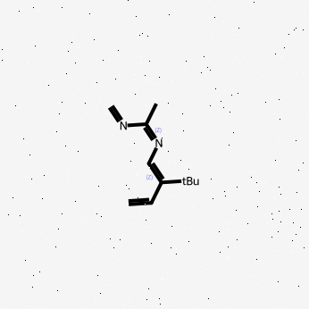 C=C/C(=C/N=C(/C)N=C)C(C)(C)C